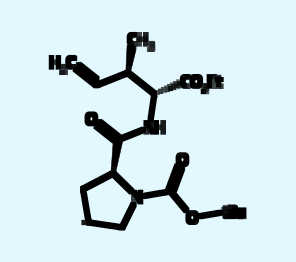 C=C[C@@H](C)[C@@H](NC(=O)[C@@H]1C[CH]CN1C(=O)OC(C)(C)C)C(=O)OCC